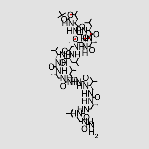 CC(C)C[C@@H](CNC(N)=O)NC(=O)NC[C@H](C)NC(=O)NC[C@@H](NC(=O)NC[C@H](CC(C)C)NC(=O)NC[C@H](C)NC(=O)NC[C@@H](NC(=O)[C@H](CC(C)C)NC(=O)[C@H](C)NC(=O)[C@H](CC(C)C)NC(=O)[C@H](C)NC(=O)[C@H](CC(C)C)NC(=O)[C@H](C)NC(=O)[C@H](CC(C)C)NC(=O)OC(C)(C)C)C(C)C)C(C)C